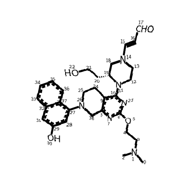 CN(C)CCOc1nc2c(c(N3CCN(C=CC=O)C[C@H]3CCO)n1)CCN(c1cc(O)cc3ccccc13)C2